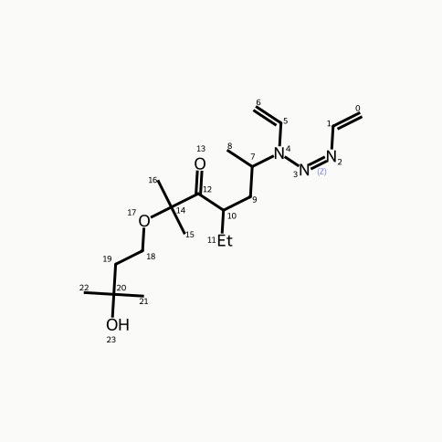 C=C/N=N\N(C=C)C(C)CC(CC)C(=O)C(C)(C)OCCC(C)(C)O